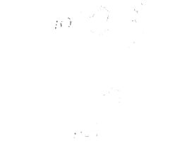 CCCCCC(O)c1ccc([C@H]2C(=O)CC[C@@H]2CCCc2ccc(OC(=O)OC)s2)cc1